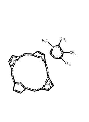 C1=Cc2cc3ccc(cc4nc(cc5ccc(cc1n2)[nH]5)C=C4)[nH]3.Cc1cc[n+](C)c(C)c1C